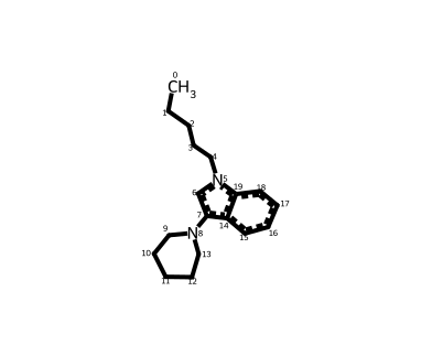 CCCCCn1cc(N2CCCCC2)c2ccccc21